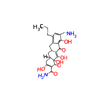 CCCc1cc(CN)c(O)c2c1CC1C[C@H]3CC(O)=C(C(N)=O)C(=O)[C@@]3(O)C(O)=C1C2=O